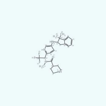 CN(C(=O)C1CCNCC1)[C@@H](c1ccc(NC2Cc3ccccc3C2(C)C)cn1)C(F)(F)F